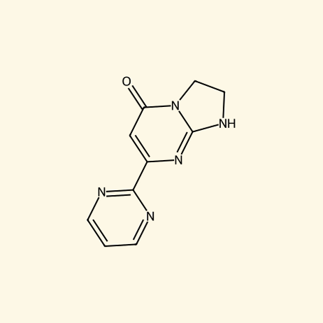 O=c1cc(-c2ncccn2)nc2n1CCN2